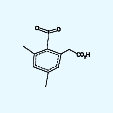 Cc1cc(C)c(I(=O)=O)c(CC(=O)O)c1